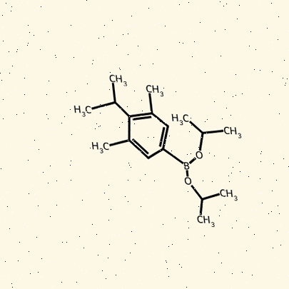 Cc1cc(B(OC(C)C)OC(C)C)cc(C)c1C(C)C